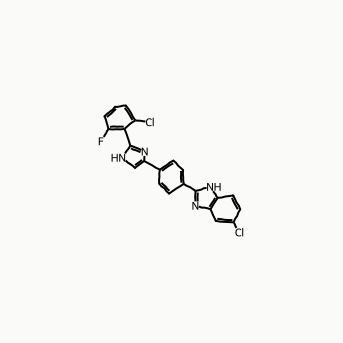 Fc1cccc(Cl)c1-c1nc(-c2ccc(-c3nc4cc(Cl)ccc4[nH]3)cc2)c[nH]1